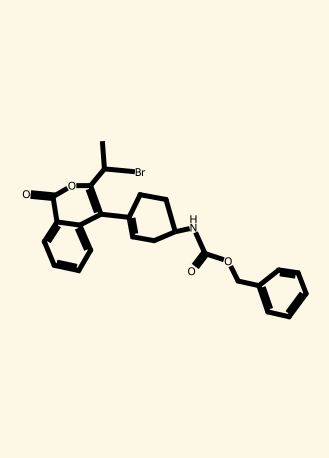 CC(Br)c1oc(=O)c2ccccc2c1C1=CCC(NC(=O)OCc2ccccc2)CC1